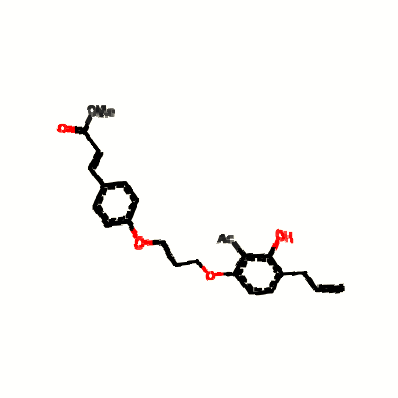 C=CCc1ccc(OCCCOc2ccc(C=CC(=O)OC)cc2)c(C(C)=O)c1O